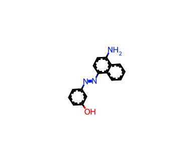 Nc1ccc(N=Nc2cccc(O)c2)c2ccccc12